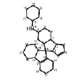 C1=CC2C(C1)C1CCC(NC3CCCCC3)CC1C21C2=C(CCCC2)C2CCCCC21